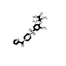 Cc1cc(S(=O)(=O)N2CCN(C(=O)c3ccco3)CC2)ccc1OC(C)(C)C(=O)O